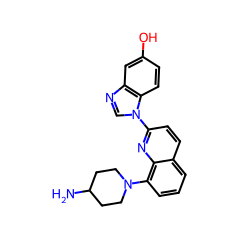 NC1CCN(c2cccc3ccc(-n4cnc5cc(O)ccc54)nc23)CC1